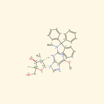 CCOc1nc(N(OC)C(c2ccccc2)(c2ccccc2)c2ccccc2)nc2c1ncn2[C@@H]1O[C@](F)(CO)[C@@H](O)[C@@]1(C)F